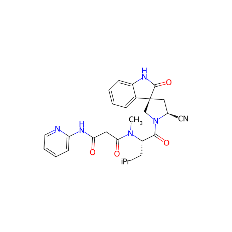 CC(C)C[C@@H](C(=O)N1C[C@]2(C[C@H]1C#N)C(=O)Nc1ccccc12)N(C)C(=O)CC(=O)Nc1ccccn1